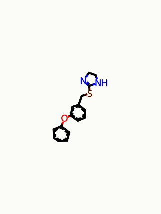 c1ccc(Oc2cccc(CSC3=NCCN3)c2)cc1